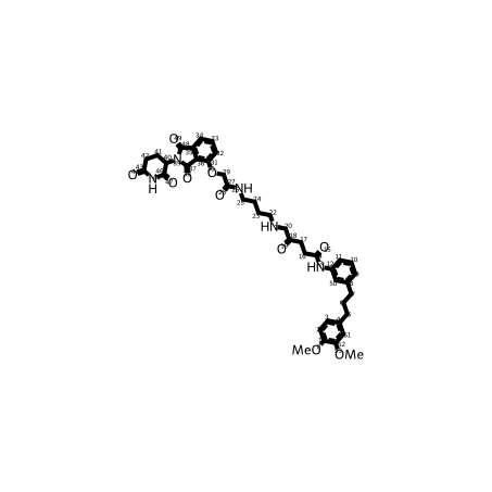 COc1ccc(CCCc2cccc(NC(=O)CCC(=O)CNCCCCNC(=O)COc3cccc4c3C(=O)N(C3CCC(=O)NC3=O)C4=O)c2)cc1OC